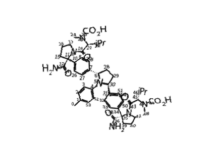 Cc1ccc(N2[C@H](c3ccc([C@]4(C(N)=O)CCCN4C(=O)[C@H](C(C)C)N(C)C(=O)O)cc3)CC[C@H]2c2ccc([C@]3(C(N)=O)CCCN3C(=O)[C@H](C(C)C)N(C)C(=O)O)cc2)cc1